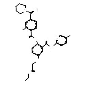 CCOC(=O)COc1ccc(NC(=O)c2ccc(C(=N)N3CCCCC3)cc2F)c(C(=O)Nc2ccc(Cl)cn2)c1